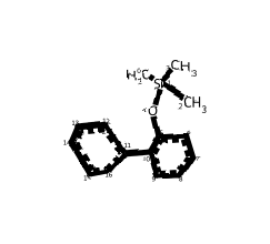 C[Si](C)(C)Oc1ccccc1-c1ccccc1